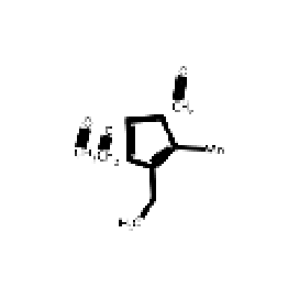 C=O.C=O.C=O.CCC1=[C]([Mn])CC=C1